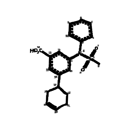 CS(=O)(=O)N(c1ccccc1)c1cc(C(=O)O)cc(C2CC=CCC2)c1